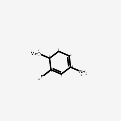 COC1CC=C(N)C=C1F